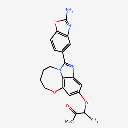 COC(=O)C(C)Oc1cc2c3c(c1)nc(-c1ccc4oc(N)nc4c1)n3CCCCO2